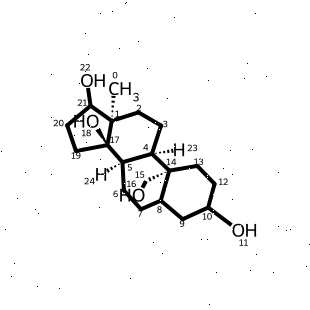 C[C@]12CC[C@@H]3[C@@H](CCC4CC(O)CC[C@@]43CO)[C@]1(O)CCC2O